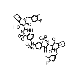 Cc1cc(CN2C(=O)C(C3=NS(=O)(=O)c4cc(N(c5ccc6c(c5)S(=O)(=O)N=C(C5=C(O)C7C8CCC(O8)C7N(Cc7ccc(F)c(C)c7)C5=O)N6)S(C)(=O)=O)ccc4N3)=C(O)C3C4CCC(O4)C32)ccc1F